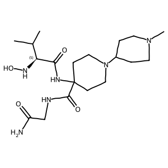 CC(C)[C@H](NO)C(=O)NC1(C(=O)NCC(N)=O)CCN(C2CCN(C)CC2)CC1